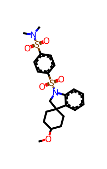 COC1CCC2(CC1)CN(S(=O)(=O)c1ccc(S(=O)(=O)N(C)C)cc1)c1ccccc12